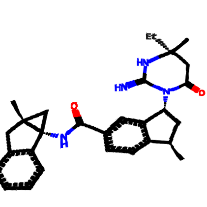 CC[C@]1(C)CC(=O)N([C@@H]2C[C@@H](C)c3ccc(C(=O)N[C@@]45C[C@@]4(C)Cc4ccccc45)cc32)C(=N)N1